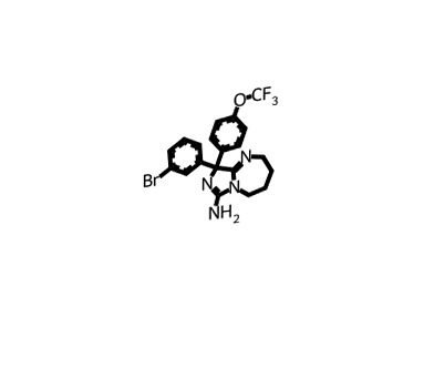 NC1=NC(c2ccc(OC(F)(F)F)cc2)(c2cccc(Br)c2)C2=NCCCCN12